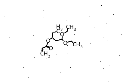 C=CC(=O)OC(CC)CC(OCC)OCC